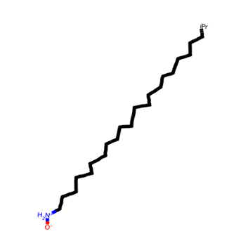 CC(C)CCCCCCCCCCCCCCCCCCCCC[NH2+][O-]